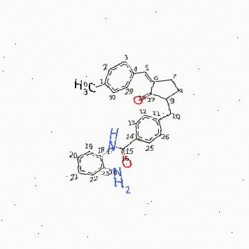 Cc1ccc(C=C2CCC(Cc3ccc(C(=O)Nc4ccccc4N)cc3)C2=O)cc1